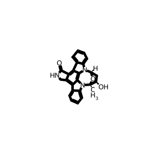 C[C@]12O[C@H](C[C@H]1O)n1c3ccccc3c3c4c(c5c6ccccc6n2c5c31)CNC4=O